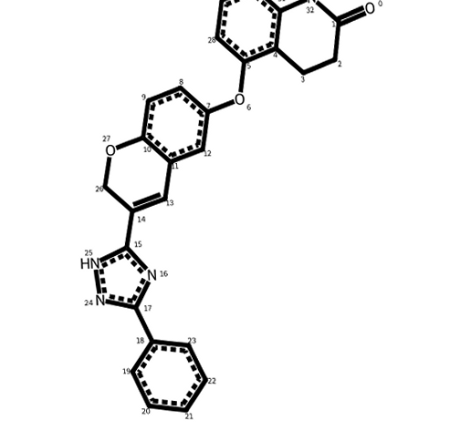 O=C1CCc2c(Oc3ccc4c(c3)C=C(c3nc(-c5ccccc5)n[nH]3)CO4)ccnc2N1